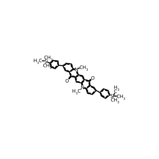 Cn1c2ccc(-c3ccc([Si](C)(C)C)cc3)cc2c(=O)c2cc3c(cc21)c(=O)c1cc(-c2ccc([Si](C)(C)C)cc2)ccc1n3C